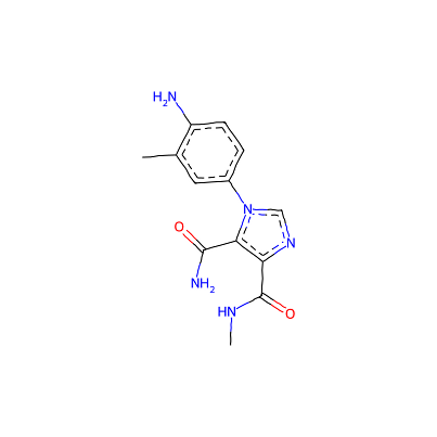 CNC(=O)c1ncn(-c2ccc(N)c(C)c2)c1C(N)=O